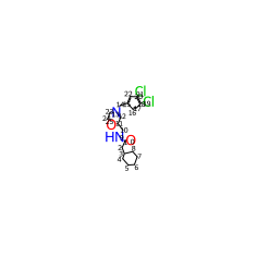 O=C(CC1CCCCC1)NCC1CN(Cc2ccc(Cl)c(Cl)c2)CCO1